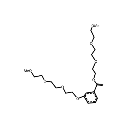 [CH]=C(OCCOCCOCCOC)c1cc[c]c(OCCOCCOCCOC)c1